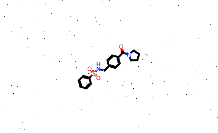 O=C(c1ccc(CNS(=O)(=O)c2ccccc2)cc1)N1CCCC1